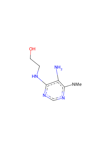 CNc1ncnc(NCCO)c1N